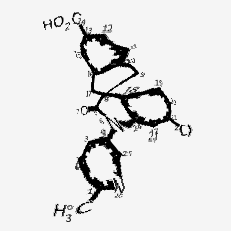 Cc1ccc(N2C(=O)[C@@]3(Cc4ccc(C(=O)O)cc4C3)c3ccc(Cl)cc32)cn1